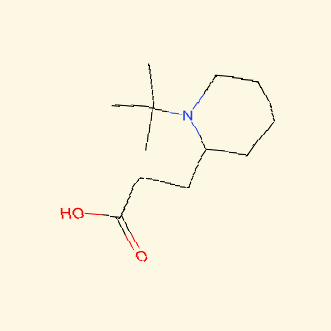 CC(C)(C)N1CCCCC1CCC(=O)O